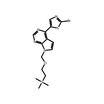 C[Si](C)(C)CCOCn1ccc2c(-c3cnc(Br)s3)ncnc21